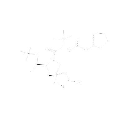 CC(C)(C)OC(=O)[C@@H]1C[C@]2(CC(Br)=NO2)CN1C(=O)[C@@H](NC(=O)OC1CCCC1)C(C)(C)C